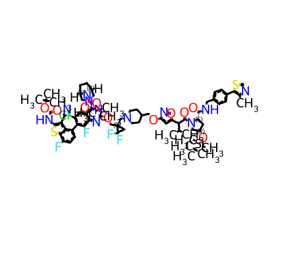 Cc1ncsc1-c1ccc(CNC(=O)[C@@H]2C[C@@H](O[Si](C)(C)C(C)(C)C)CN2C(=O)C(c2cc(OCC3CCN(C[C@@]4(COc5nc(N6C[C@H]7CC[C@@H](C6)N7C(=O)OC(C)(C)C)c6cc(Cl)c(-c7ccc(F)c8sc(NC(=O)OC(C)(C)C)c(C#N)c78)c(F)c6n5)CC4(F)F)CC3)no2)C(C)C)cc1